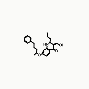 CCCC1Nc2cc(OC(C)CCCc3ccccc3)ccc2C(=O)C1=CO